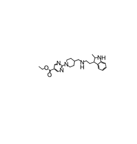 CCOC(=O)c1cnc(N2CCC(CNCCC3c4ccccc4NC3C)CC2)nc1